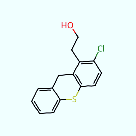 OCCc1c(Cl)ccc2c1Cc1ccccc1S2